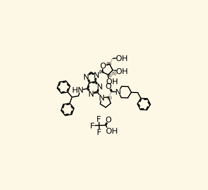 O=C(O)C(F)(F)F.O=C([C@@H]1CCCN1c1nc(NCC(c2ccccc2)c2ccccc2)c2ncn([C@@H]3O[C@H](CO)[C@@H](O)[C@H]3O)c2n1)N1CCC(Cc2ccccc2)CC1